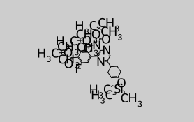 CC[Si](CC)(CC)OC1=CCC(c2cnc(N(C(=O)OC(C)(C)C)C(=O)OC(C)(C)C)c(-c3ccc(C(=O)OC(C)(C)C)c(F)c3)n2)CC1